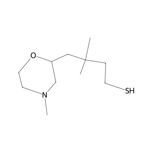 CN1CCOC(CC(C)(C)CCS)C1